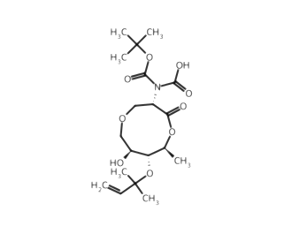 C=CC(C)(C)O[C@H]1[C@H](C)OC(=O)[C@@H](N(C(=O)O)C(=O)OC(C)(C)C)COC[C@@H]1O